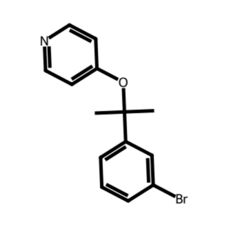 CC(C)(Oc1ccncc1)c1cccc(Br)c1